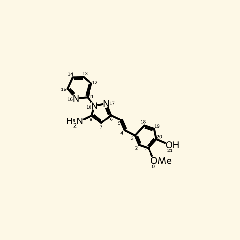 COc1cc(/C=C/c2cc(N)n(-c3ccccn3)n2)ccc1O